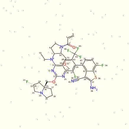 C=CC(=O)N1CCC(N(CC)c2nc(OC[C@@]34CCCN3C[C@H](F)C4)nc3c(F)c(-c4ccc(F)c5sc(N)c(C#N)c45)c(C(F)(F)F)cc23)C1COC